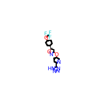 FC(F)(F)Oc1ccc([C@H]2CC(Oc3ccc(-c4nnn[nH]4)nc3)=NO2)cc1